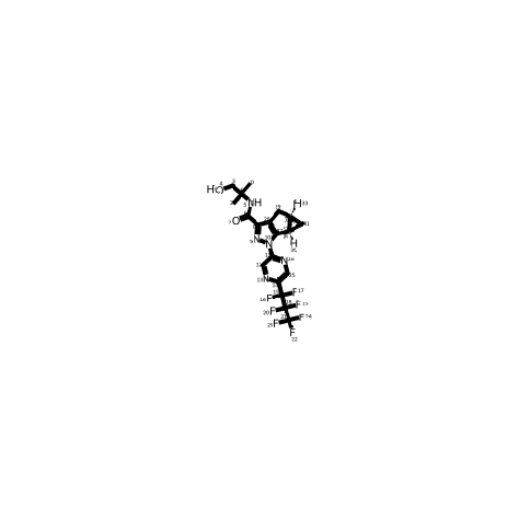 CC(C)(CO)NC(=O)c1nn(-c2cnc(C(F)(F)C(F)(F)C(F)(F)F)cn2)c2c1C[C@H]1C[C@@H]21